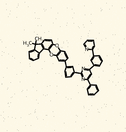 CC1(C)c2ccccc2-c2c1ccc1c2Oc2cc(-c3cccc(-c4nc(-c5ccccc5)cc(-c5cccc(-c6ccccn6)c5)n4)c3)ccc2O1